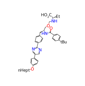 CCCCCCCOc1ccc(-c2cnc(-c3ccc(C[C@@H](COCN[C@H](CC)C(=O)O)NC(=O)c4ccc(C(C)(C)C)cc4)cc3)nc2)cc1